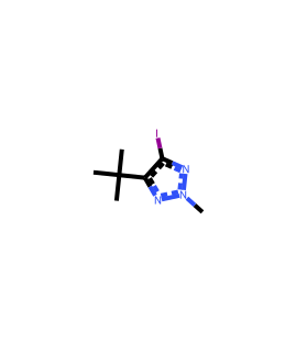 Cn1nc(I)c(C(C)(C)C)n1